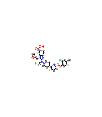 C[C@@H](c1nc2ccc(C(=O)O)cc2n1CC1CCO1)N1CCC(c2cccc(OCc3ccc(Br)cc3F)n2)CC1